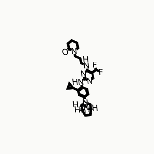 CN1[C@@H]2CC[C@H]1CN(c1ccc(Nc3ncc(C(F)F)c(NCCCN4CCCCC4=O)n3)c(C3CC3)c1)C2